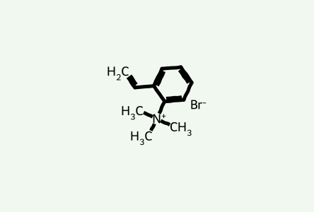 C=Cc1ccccc1[N+](C)(C)C.[Br-]